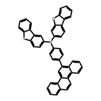 c1ccc2c(c1)ccc1c3ccccc3c(-c3ccc(N(c4ccc5c(c4)oc4ccccc45)c4ccc5sc6ccccc6c5c4)cc3)cc21